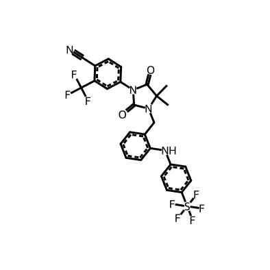 CC1(C)C(=O)N(c2ccc(C#N)c(C(F)(F)F)c2)C(=O)N1Cc1ccccc1Nc1ccc(S(F)(F)(F)(F)F)cc1